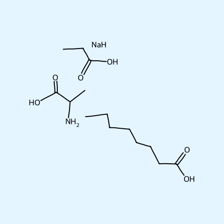 CC(N)C(=O)O.CCC(=O)O.CCCCCCCC(=O)O.[NaH]